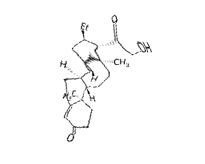 CC[C@@H]1C[C@H]2[C@@H]3CCC4=CC(=O)CC[C@]4(C)[C@H]3CC[C@]2(C)[C@H]1C(=O)CO